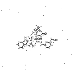 CC1(C)O[C@@]23CC[C@]4(C)[C@@]5(C)c6[nH]c7ccccc7c6C[C@@H]5C[C@H](OCc5cccc(CO)n5)[C@@]4(O)C2=CC(=O)C1O3